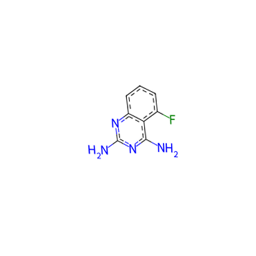 Nc1nc(N)c2c(F)cccc2n1